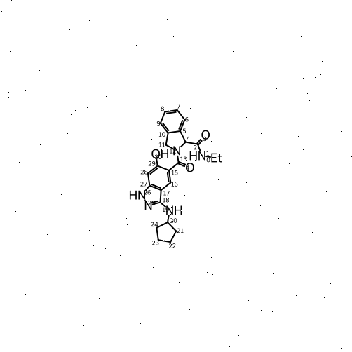 CCNC(=O)C1c2ccccc2CN1C(=O)c1cc2c(NC3CCCC3)n[nH]c2cc1O